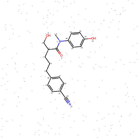 CN(C(=O)C(CO)CCCc1ccc(C#N)cc1)c1ccc(O)cc1